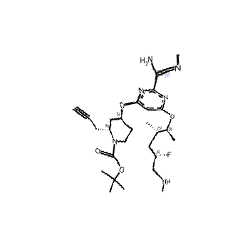 C#CC[C@@H]1C[C@@H](Oc2cc(O[C@@H](C)[C@@H](C)C[C@H](F)CNC)nc(/C(N)=N/C)n2)CCN1C(=O)OC(C)(C)C